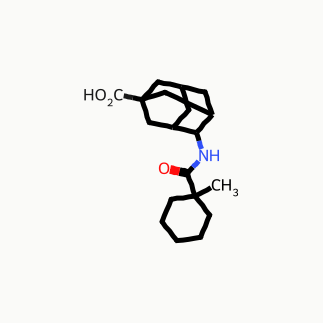 CC1(C(=O)NC2C3CC4CC2CC(C(=O)O)(C4)C3)CCCCC1